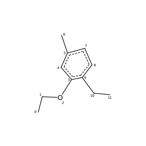 CCOc1cc(C)ccc1CC